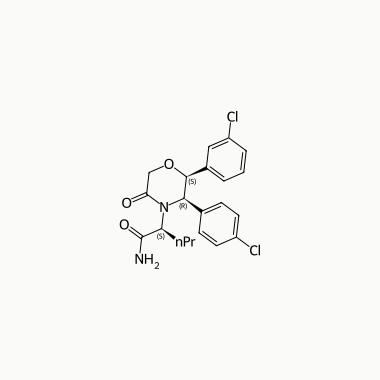 CCC[C@@H](C(N)=O)N1C(=O)CO[C@@H](c2cccc(Cl)c2)[C@H]1c1ccc(Cl)cc1